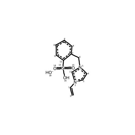 C=C[n+]1ccn(Cc2ccccc2S(=O)(=O)O)c1.[OH-]